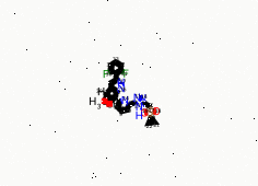 CC1(C)[C@H]2CC[C@@]1(c1cccc(-c3nnc(CS(=O)(=O)C4CC4)[nH]3)n1)c1nnc(-c3c(F)cccc3F)cc12